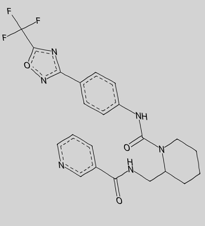 O=C(NCC1CCCCN1C(=O)Nc1ccc(-c2noc(C(F)(F)F)n2)cc1)c1cccnc1